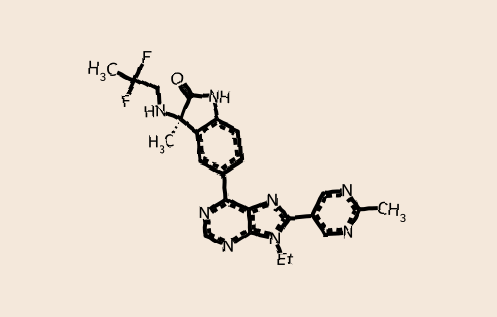 CCn1c(-c2cnc(C)nc2)nc2c(-c3ccc4c(c3)[C@@](C)(NCC(C)(F)F)C(=O)N4)ncnc21